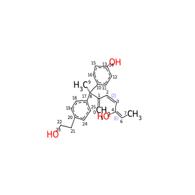 C=C(/C=C\C(O)=C/C)C(C)(c1ccc(O)cc1)c1ccc(CCO)cc1